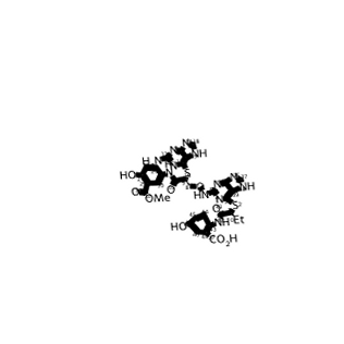 CC[C@@H](Sc1nc(NOC[C@@H](Sc2nc(N)nc3nc[nH]c23)C(=O)Nc2ccc(O)c(C(=O)OC)c2)nc2nc[nH]c12)C(=O)Nc1ccc(O)cc1C(=O)O